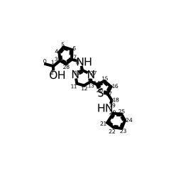 CC(O)c1cccc(NC2=NCCC(c3ccc(CNc4ccccc4)s3)=N2)c1